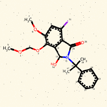 COCOc1c(OC)cc(I)c2c1C(O)N(C(C)(C)c1ccccc1)C2=O